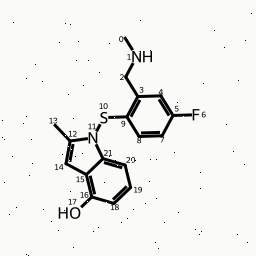 CNCc1cc(F)ccc1Sn1c(C)cc2c(O)cccc21